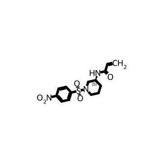 C=CC(=O)N[C@H]1CCCN(S(=O)(=O)c2ccc([N+](=O)[O-])cc2)C1